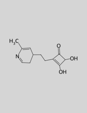 CC1=CC(CCC2=C(O)C(O)C2=O)CC=N1